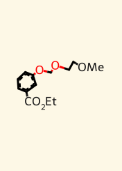 CCOC(=O)c1cccc(OCOCCOC)c1